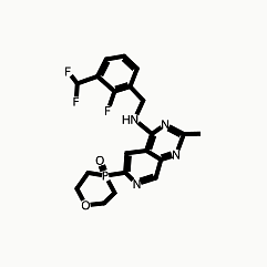 Cc1nc(NCc2cccc(C(F)F)c2F)c2cc(P3(=O)CCOCC3)ncc2n1